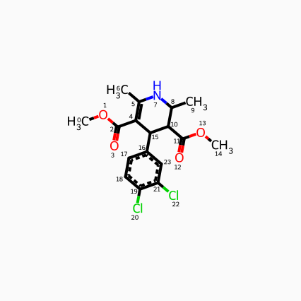 COC(=O)C1=C(C)NC(C)C(C(=O)OC)C1c1ccc(Cl)c(Cl)c1